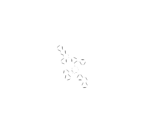 C[C@@H]1C(c2cccc3ccccc23)=NC(c2ccc3c(ccc4ccccc43)c2)CCC1c1cc([C@@H]2Cc3cc4ccccc4cc3-c3ccccc32)cc2oc3ccccc3c12